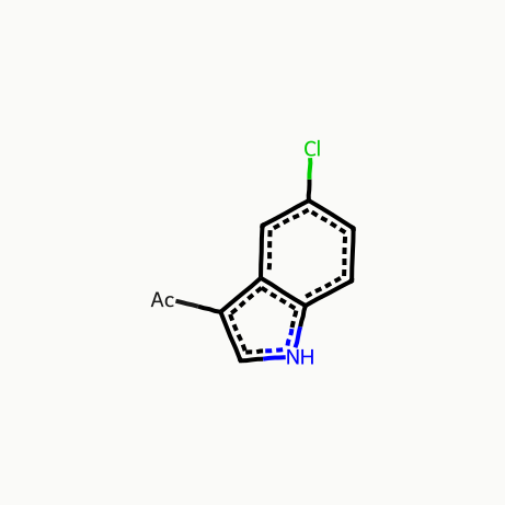 CC(=O)c1c[nH]c2ccc(Cl)cc12